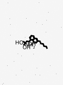 CCCCCCc1ccc2c(C(O)CC(N)(CO)CO)cccc2c1